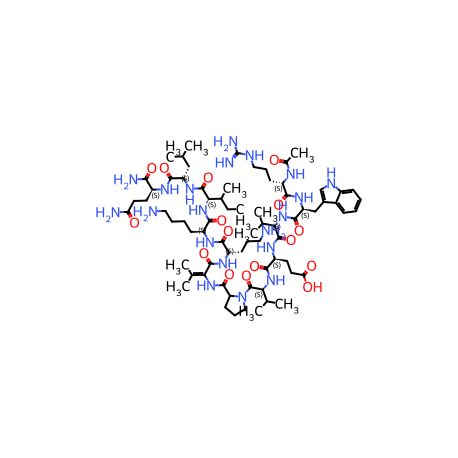 CCC(C)[C@H](NC(=O)[C@H](CCCCN)NC(=O)[C@H](CCCN)NC(=O)C(NC(=O)C1CCCN1C(=O)[C@@H](NC(=O)[C@H](CCC(=O)O)NC(=O)[C@@H](NC(=O)[C@H](Cc1c[nH]c2ccccc12)NC(=O)[C@H](CCCNC(=N)N)NC(C)=O)C(C)C)C(C)C)=C(C)C)C(=O)N[C@@H](CC(C)C)C(=O)N[C@@H](CCC(N)=O)C(N)=O